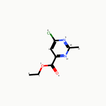 CCOC(=O)c1cc(Cl)nc(C)n1